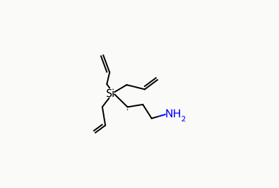 C=CC[Si]([CH]CCN)(CC=C)CC=C